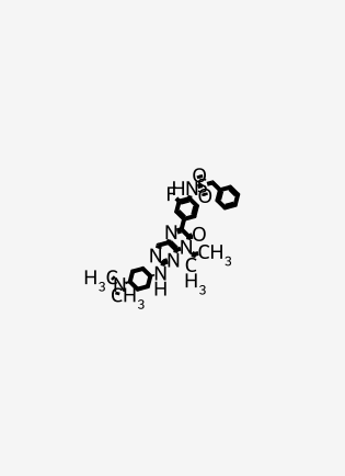 CC(C)n1c(=O)c(-c2ccc(NS(=O)(=O)Cc3ccccc3)c(F)c2)nc2cnc(N[C@H]3CC[C@H](N(C)C)CC3)nc21